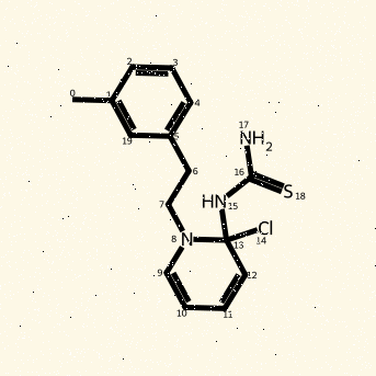 Cc1cccc(CCN2C=CC=CC2(Cl)NC(N)=S)c1